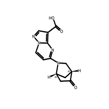 O=C(O)c1cnn2ccc(N3C[C@H]4C[C@@H]3CC4=O)nc12